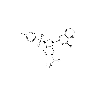 Cc1ccc(S(=O)(=O)n2cc(-c3cc(F)c4ncccc4c3)c3cc(C(N)=O)cnc32)cc1